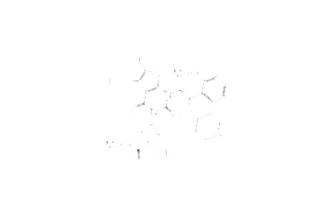 COc1ccccc1[C@H](Cn1c(=O)n([C@H]2C[C@](C)(C(=O)OC)C2)c(=O)c2c(C)c(Br)sc21)OC1CCOCC1